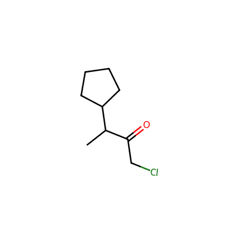 CC(C(=O)CCl)C1CCCC1